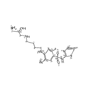 NC[C@@H](O)CNCCCCNc1cc(F)c(S(=O)(=O)Nc2ncns2)cc1Br